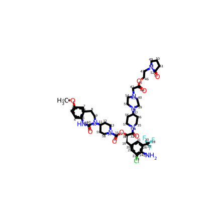 COc1ccc2c(c1)CCN(C1CCN(C(=O)O[C@H](Cc3cc(Cl)c(N)c(C(F)(F)F)c3)C(=O)N3CCC(N4CCN(CC(=O)OCCN5CCCC5=O)CC4)CC3)CC1)C(=O)N2